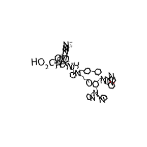 CC1(CNCCC(=O)N(CCCCOc2cc(CN(Cc3ccccn3)Cc3ccccn3)cc(CN(Cc3ccccn3)Cc3ccccn3)c2)Cc2ccc(-c3ccccc3)cc2)O[C@@H]2[C@H](O1)[C@@H](CN=[N+]=[N-])O[C@@H]2CC(=O)O